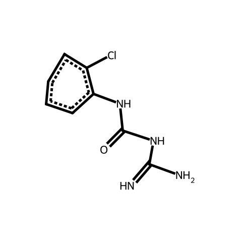 N=C(N)NC(=O)Nc1ccccc1Cl